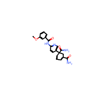 COc1cccc(C(=O)Nc2ccc(C3(C(N)=O)C=CC=C(C(N)=O)C3)cn2)c1